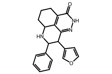 O=c1[nH]nc2c3c1CCCC3NC(c1ccccc1)C2c1ccoc1